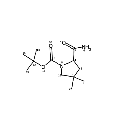 CC1(C)CC(C(N)=O)N(C(=O)OC(C)(C)C)C1